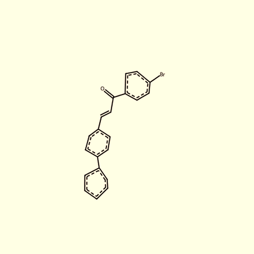 O=C(/C=C/c1ccc(-c2ccccc2)cc1)c1ccc(Br)cc1